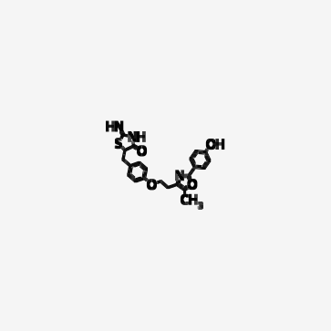 Cc1oc(-c2ccc(O)cc2)nc1CCOc1ccc(CC2SC(=N)NC2=O)cc1